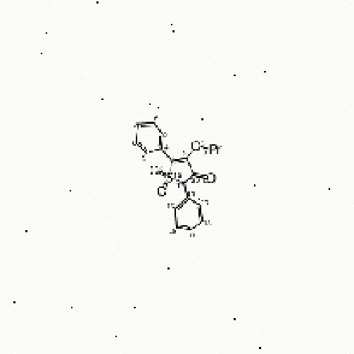 CC(C)OC1=C(c2ccccc2)S(=O)(=O)C(c2ccccc2)C1=O